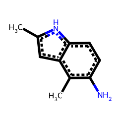 Cc1cc2c(C)c(N)ccc2[nH]1